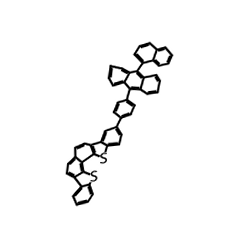 c1ccc2c(-c3c4ccccc4c(-c4ccc(-c5ccc6sc7c(ccc8ccc9c%10ccccc%10sc9c87)c6c5)cc4)c4ccccc34)cccc2c1